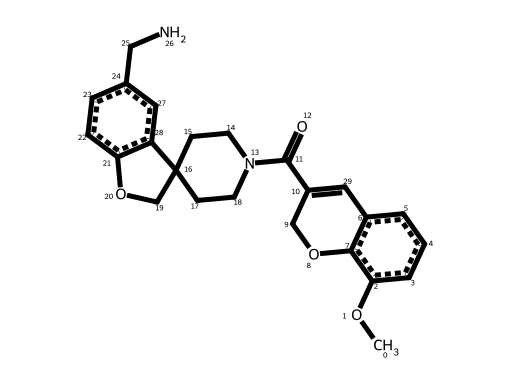 COc1cccc2c1OCC(C(=O)N1CCC3(CC1)COc1ccc(CN)cc13)=C2